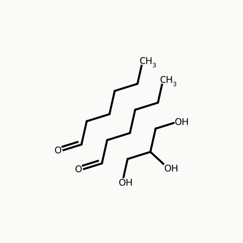 CCCCCC=O.CCCCCC=O.OCC(O)CO